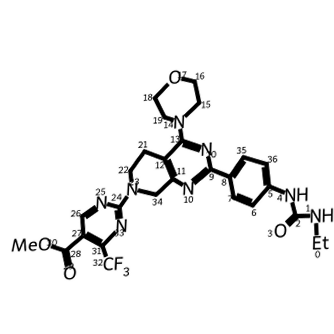 CCNC(=O)Nc1ccc(-c2nc3c(c(N4CCOCC4)n2)CCN(c2ncc(C(=O)OC)c(C(F)(F)F)n2)C3)cc1